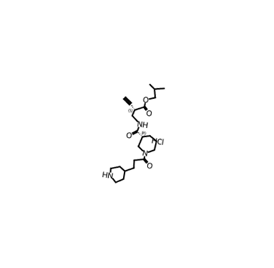 C#C[C@@H](CNC(=O)[C@@H]1CCCN(C(=O)CCC2CCNCC2)C1)C(=O)OCC(C)C.Cl